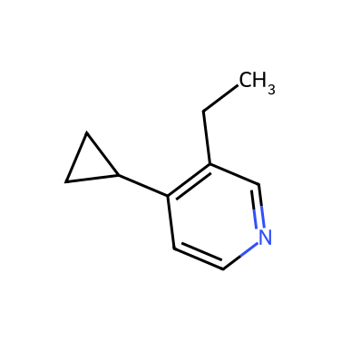 CCc1cnccc1C1CC1